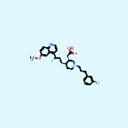 COc1ccc2nccc(C(F)CC[C@@H]3CCN(CCCc4cccc(Cl)c4)C[C@@H]3CC(=O)O)c2c1